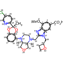 COc1cc(C(=O)O)cc2c1nc(CN1CCN(c3cccc4c3O[C@@](C)(c3ccc(Cl)cn3)O4)[C@@H]3COC[C@@H]31)n2C[C@@H]1CCO1